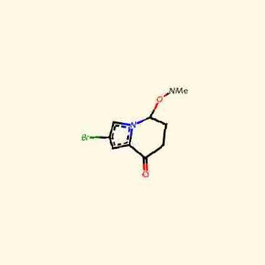 CNOC1CCC(=O)c2cc(Br)cn21